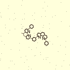 CC1Cc2ccc(-c3cccc(-c4ccc5ccc6ccc(-c7ccccc7)nc6c5n4)c3)nc2-c2nc(-c3ccccc3)ccc21